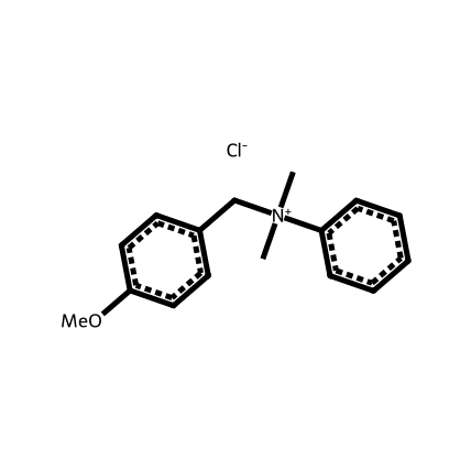 COc1ccc(C[N+](C)(C)c2ccccc2)cc1.[Cl-]